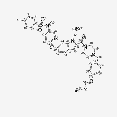 Br.Cc1ccc(S(=O)(=O)N(C)c2ccc(Oc3ccc4cc(C(=O)N5CCN(Cc6ccc(OCCC(C)C)cc6)CC5)n(C)c4c3)nc2)cc1